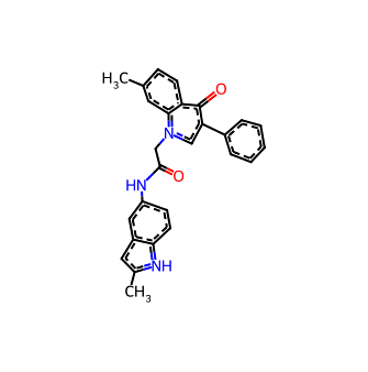 Cc1ccc2c(=O)c(-c3ccccc3)cn(CC(=O)Nc3ccc4[nH]c(C)cc4c3)c2c1